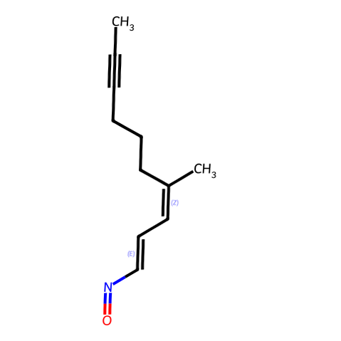 CC#CCCC/C(C)=C\C=C\N=O